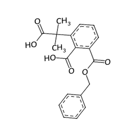 CC(C)(C(=O)O)c1cccc(C(=O)OCc2ccccc2)c1C(=O)O